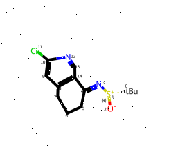 CC(C)(C)[S@+]([O-])N=C1CCCc2cc(Cl)ncc21